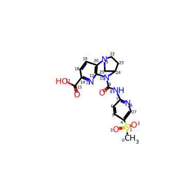 CS(=O)(=O)c1ccc(NC(=O)N2c3nc(C(=O)O)ccc3N3CCC2C3)nc1